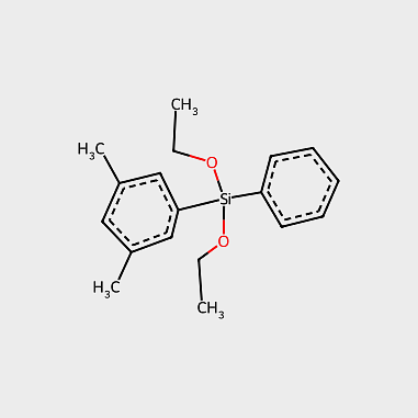 CCO[Si](OCC)(c1ccccc1)c1cc(C)cc(C)c1